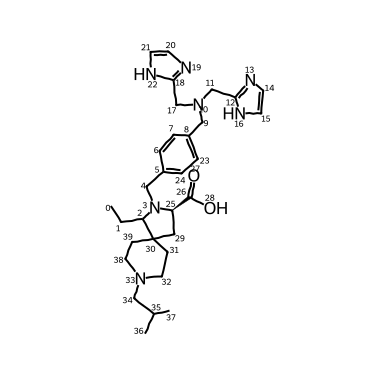 CCC1N(Cc2ccc(CN(Cc3ncc[nH]3)Cc3ncc[nH]3)cc2)[C@@H](C(=O)O)CC12CCN(CC(C)C)CC2